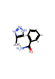 Cc1c[nH]nn1.NC(=O)c1ccccc1